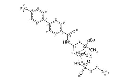 C=C(CC(C[Si](C)(C)C(C)(C)C)NC(=O)c1ccc(-c2ccc(C(F)(F)F)cc2)cc1)NS(=O)(=O)CCN